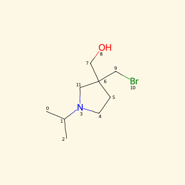 CC(C)N1CCC(CO)(CBr)C1